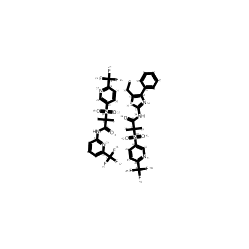 CC(C)(C(=O)Nc1cccc(C(F)(F)F)n1)S(=O)(=O)c1ccc(C(F)(F)F)nc1.CCc1sc(NC(=O)C(C)(C)S(=O)(=O)c2ccc(C(F)(F)F)nc2)nc1-c1ccccc1